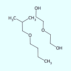 CCCCOCC(C)C.OCCOCCO